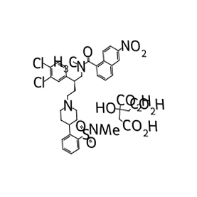 CNS(=O)(=O)c1ccccc1C1CCN(CC[C@H](CN(C)C(=O)c2cccc3cc([N+](=O)[O-])ccc23)c2ccc(Cl)c(Cl)c2)CC1.O=C(O)CC(O)(CC(=O)O)C(=O)O